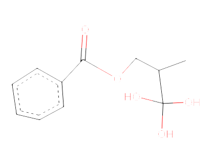 CC(COC(=O)c1ccccc1)C(O)(O)O